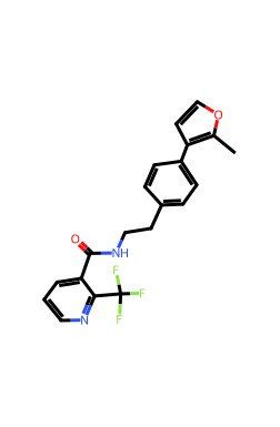 Cc1occc1-c1ccc(CCNC(=O)c2cccnc2C(F)(F)F)cc1